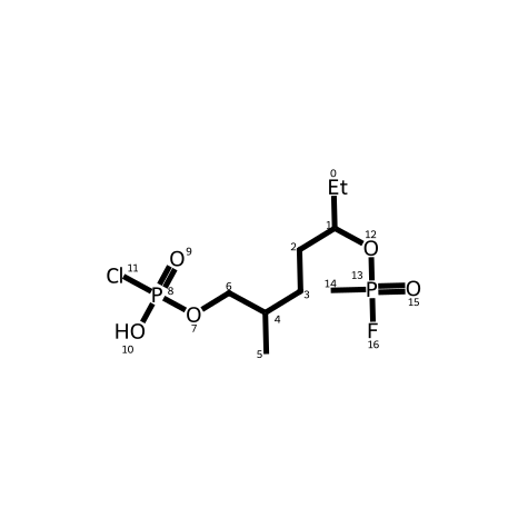 CCC(CCC(C)COP(=O)(O)Cl)OP(C)(=O)F